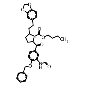 CCCCOC(=O)N1C(CCc2ccc3c(c2)OCO3)CCC1C(=O)c1ccc(OCc2ccccc2)c(NC=O)c1